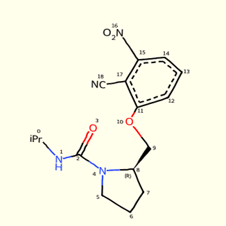 CC(C)NC(=O)N1CCC[C@@H]1COc1cccc([N+](=O)[O-])c1C#N